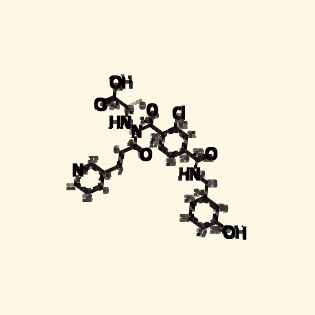 C[C@H](NN(C(=O)C=Cc1cccnc1)C(=O)c1ccc(C(=O)NCc2cccc(O)c2)cc1Cl)C(=O)O